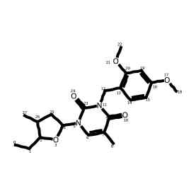 CCC1OC(n2cc(C)c(=O)n(Cc3ccc(OC)cc3OC)c2=O)CC1C